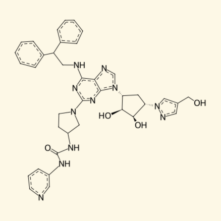 O=C(Nc1cccnc1)NC1CCN(c2nc(NCC(c3ccccc3)c3ccccc3)c3ncn([C@@H]4C[C@H](n5cc(CO)cn5)[C@@H](O)[C@H]4O)c3n2)C1